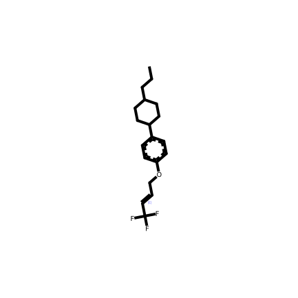 CCCC1CCC(c2ccc(OC/C=C/C(F)(F)F)cc2)CC1